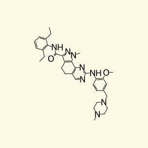 CCc1cccc(CC)c1NC(=O)c1nn(C)c2c1CCc1cnc(Nc3ccc(CN4CCN(C)CC4)cc3OC)nc1-2